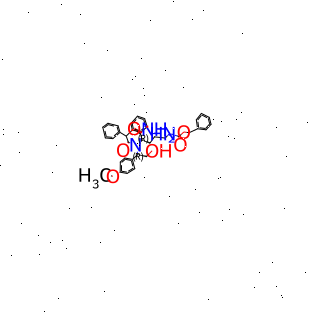 COc1ccc([C@H](CO)N(C(=O)C(c2ccccc2)c2ccccc2)[C@H](CCCNC(=O)OCc2ccccc2)C(N)=O)cc1